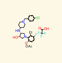 CCc1c(F)ccc(OOC(C)=O)c1N1C[C@@H](O)[C@H](NC2CCN(Cc3ccc(Cl)cc3)CC2)C1.O=C(O)C(F)(F)F